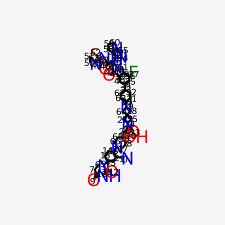 N#Cc1cc(N2CCC(=O)NC2=O)ccc1N1CCC(O)(CC(=O)N2CC3(C2)CN(c2ccc(-c4cc(F)c5c(c4)C(=O)N(C(C(=O)Nc4nccs4)c4ncn6c4CCC6)C5)cc2)C3)CC1